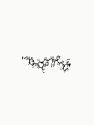 CC(=O)c1ccc(-c2cc(Cl)c3c(c2)CC(CNC(=O)/C=C/c2cccnc2Cl)O3)s1